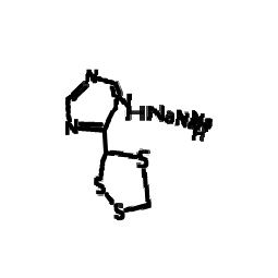 [NaH].[NaH].[NaH].c1ncnc(C2SCSS2)n1